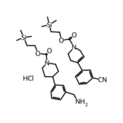 C[Si](C)(C)CCOC(=O)N1CC=C(c2cccc(C#N)c2)CC1.C[Si](C)(C)CCOC(=O)N1CCC(c2cccc(CN)c2)CC1.Cl